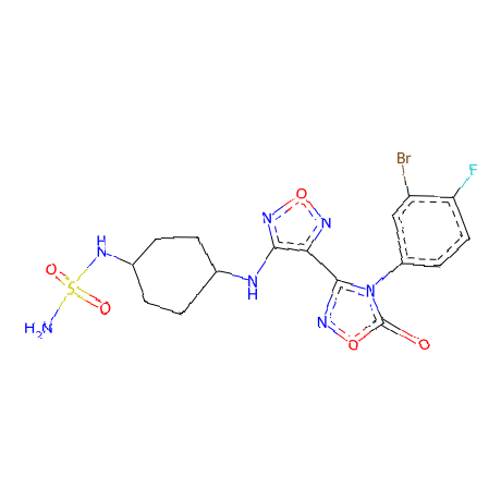 NS(=O)(=O)NC1CCC(Nc2nonc2-c2noc(=O)n2-c2ccc(F)c(Br)c2)CC1